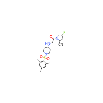 Cc1cc(C)c(S(=O)(=O)N2CCC(NCC(=O)N3C[C@@H](F)C[C@H]3C#N)CC2)c(C)c1